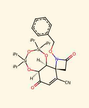 CC(C)[Si]1(C(C)C)O[C@@H]2C(=O)C=C(C#N)[C@]3(CC(=O)N3OCc3ccccc3)[C@@H]2O[Si](C(C)C)(C(C)C)O1